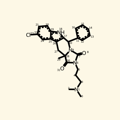 CN(C)CCCN1C(=O)N2C(c3ccccc3)c3[nH]c4ccc(Cl)cc4c3CC2(C)C1=O